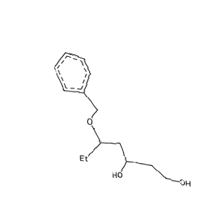 CCC(CC(O)CCO)OCc1ccccc1